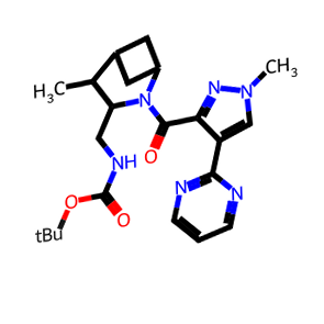 CC1C2CC(C2)N(C(=O)c2nn(C)cc2-c2ncccn2)C1CNC(=O)OC(C)(C)C